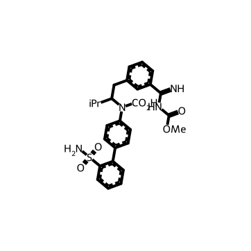 COC(=O)NC(=N)c1cccc(CC(C(C)C)N(C(=O)O)c2ccc(-c3ccccc3S(N)(=O)=O)cc2)c1